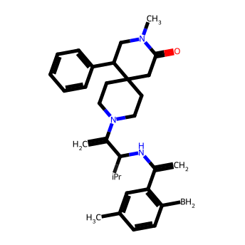 Bc1ccc(C)cc1C(=C)NC(C(=C)N1CCC2(CC1)CC(=O)N(C)CC2c1ccccc1)C(C)C